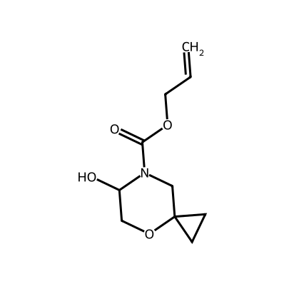 C=CCOC(=O)N1CC2(CC2)OCC1O